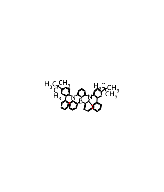 CC(C)(C)c1ccc(N2c3ccccc3B3C4=CC=CCC4N(c4ccc(C(C)(C)C)cc4-c4ccccc4)c4cccc2c43)c(-c2ccccc2)c1